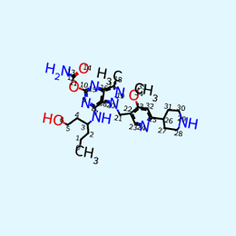 CCCC(CCO)Nc1nc(OC(N)=O)nc2c(C)nn(Cc3cnc(C4CCNCC4)cc3OC)c12